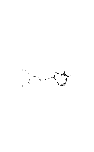 CC(C)(C)c1cc(C=N[N+](C=O)C(C)(C)C)cc(C(C)(C)C)c1O